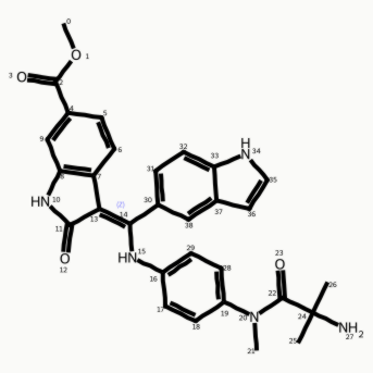 COC(=O)c1ccc2c(c1)NC(=O)/C2=C(\Nc1ccc(N(C)C(=O)C(C)(C)N)cc1)c1ccc2[nH]ccc2c1